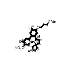 COCCCOc1cc2c(cc1Cl)-c1cc(=O)c(C(=O)O)cn1N1[C@@H]2CCC1(COC)COC